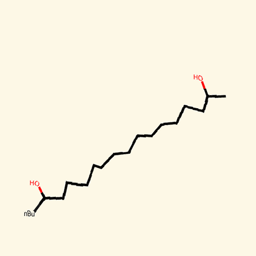 CCCCC(O)CCCCCCCCCCCCCC(C)O